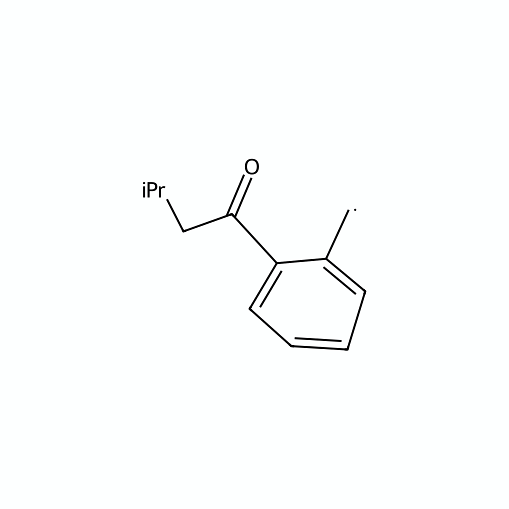 [CH2]c1ccccc1C(=O)CC(C)C